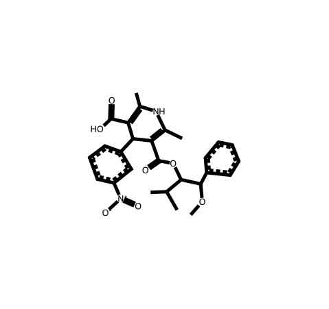 COC(c1ccccc1)C(OC(=O)C1=C(C)NC(C)=C(C(=O)O)C1c1cccc([N+](=O)[O-])c1)C(C)C